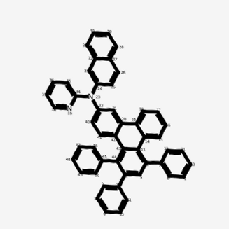 c1ccc(-c2cc(-c3ccccc3)c3c4ccccc4c4cc(N(c5ccc6ccccc6c5)c5ccccn5)ccc4c3c2-c2ccccc2)cc1